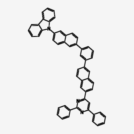 c1ccc(-c2cc(-c3ccc4cc(-c5cccc(-c6ccc7cc(-n8c9ccccc9c9ccccc98)ccc7c6)c5)ccc4c3)nc(-c3ccccc3)n2)cc1